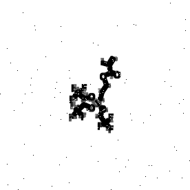 C=C(C)C(=O)OCCC[Si](OCC(F)(F)F)(OCC(F)(F)F)OCC(F)(F)F